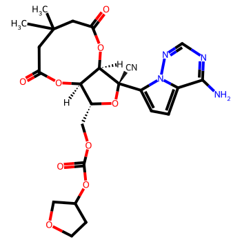 CC1(C)CC(=O)O[C@H]2[C@@H](OC(=O)C1)[C@](C#N)(c1ccc3c(N)ncnn13)O[C@@H]2COC(=O)OC1CCOC1